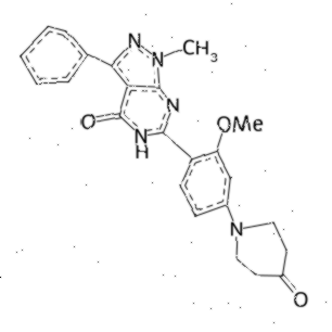 COc1cc(N2CCC(=O)CC2)ccc1-c1nc2c(c(-c3ccccc3)nn2C)c(=O)[nH]1